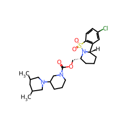 CC1CC(C)CN(C2CCCN(C(=O)OC[C@H]3CCC[C@H]4c5cc(Cl)ccc5S(=O)(=O)N34)C2)C1